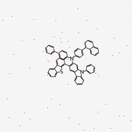 c1ccc(-c2ccc(N(c3ccc(-c4cccc5ccccc45)cc3)c3cc4c(cc3-c3cccc5c3sc3ccccc35)c3ccccc3n4-c3ccccc3)cc2)cc1